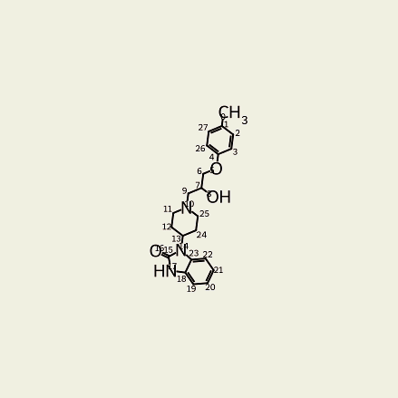 Cc1ccc(OCC(O)CN2CCC(n3c(=O)[nH]c4ccccc43)CC2)cc1